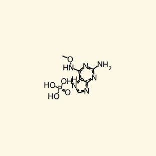 CONc1nc(N)nc2nc[nH]c12.O=P(O)(O)O